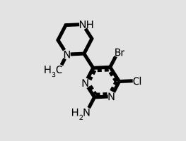 CN1CCNCC1c1nc(N)nc(Cl)c1Br